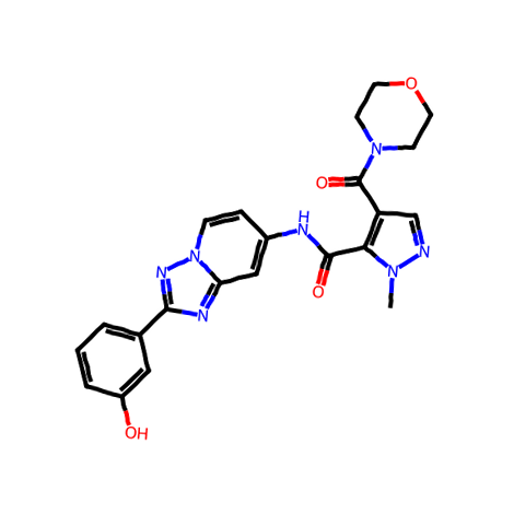 Cn1ncc(C(=O)N2CCOCC2)c1C(=O)Nc1ccn2nc(-c3cccc(O)c3)nc2c1